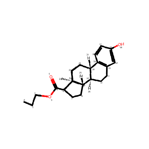 CCCOC(=O)C1CC[C@H]2[C@@H]3CCc4cc(O)ccc4[C@H]3CC[C@]12C